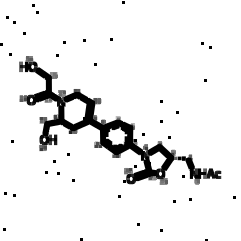 CC(=O)NC[C@H]1CN(c2ccc(C3=CCN(C(=O)CO)C(CO)C3)cc2)C(=O)O1